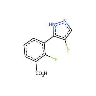 O=C(O)c1cccc(-c2[nH]ncc2F)c1F